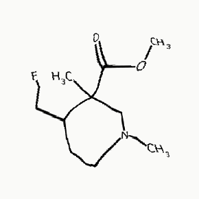 COC(=O)C1(C)CN(C)CCC1CF